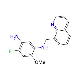 COc1cc(F)c(N)cc1NCc1cccc2cccnc12